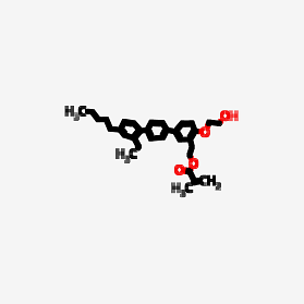 C=C(C)C(=O)OCCc1cc(-c2ccc(-c3ccc(CCCCC)cc3CC)cc2)ccc1OCCO